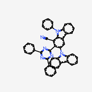 N#Cc1c(-c2nc(-c3ccccc3)nc(-c3ccccc3)n2)c(-n2c3ccccc3c3ccccc32)cc2c3ccccc3n(-c3ccccc3)c12